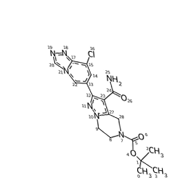 CC(C)(C)OC(=O)N1CCn2nc(-c3cc(Cl)c4nncn4c3)c(C(N)=O)c2C1